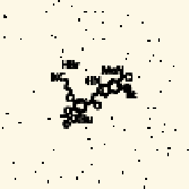 Br.CCOc1cc2c(cc1C(=O)NC)C(=N)N(CC(=O)c1cc(OCCCC#N)c(OS(C)(=O)=O)c(C(C)(C)C)c1)C2